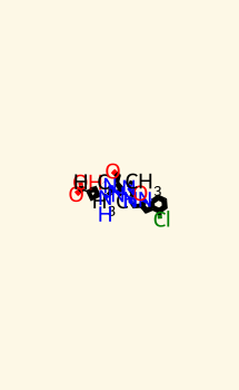 CN(Cc1cc2c(Cl)cccc2[nH]1)C(=O)N(C)c1nc(N[C@H]2C[C@H](C(=O)O)C2)n(C)c1C=O